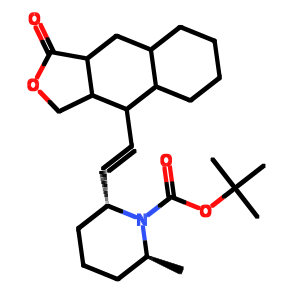 C[C@H]1CCC[C@H](/C=C/C2C3CCCCC3CC3C(=O)OCC32)N1C(=O)OC(C)(C)C